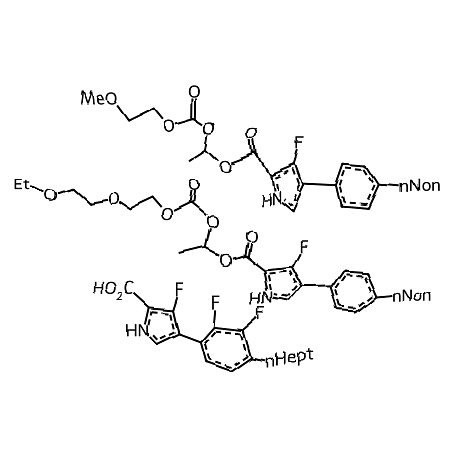 CCCCCCCCCc1ccc(-c2c[nH]c(C(=O)OC(C)OC(=O)OCCOC)c2F)cc1.CCCCCCCCCc1ccc(-c2c[nH]c(C(=O)OC(C)OC(=O)OCCOCCOCC)c2F)cc1.CCCCCCCc1ccc(-c2c[nH]c(C(=O)O)c2F)c(F)c1F